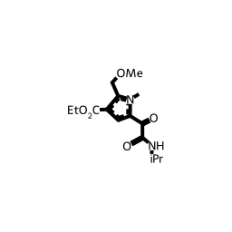 CCOC(=O)c1cc(C(=O)C(=O)NC(C)C)n(C)c1COC